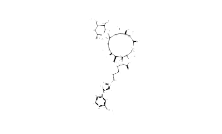 C=C1C(=O)[C@H](C)C[C@@](C)(OC)[C@H](O[C@@H]2OC(C)CC(N)C2O)[C@@H](C)C(=O)[C@@H](C)C(=O)O[C@H](CC)[C@@]2(C)OC(=O)N(CCCCn3cc(-c4cccc(N)c4)nn3)[C@H]12